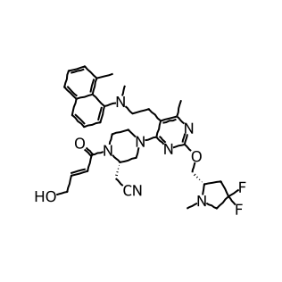 Cc1nc(OC[C@@H]2CC(F)(F)CN2C)nc(N2CCN(C(=O)/C=C/CO)[C@@H](CC#N)C2)c1CCN(C)c1cccc2cccc(C)c12